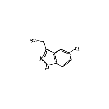 N#CCc1n[nH]c2ccc(Cl)cc12